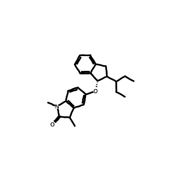 CCC(CC)C1Cc2ccccc2[C@H]1Oc1ccc2c(c1)C(C)C(=O)N2C